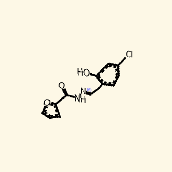 O=C(N/N=C/c1ccc(Cl)cc1O)c1ccco1